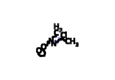 C=CCN(CCOC1CCCCO1)/N=C\C=C(\Cl)CC